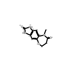 CN1C(=O)CCOc2cc3[nH]c(=O)[nH]c3cc21